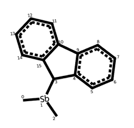 [CH3][Sb]([CH3])[CH]1c2ccccc2-c2ccccc21